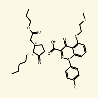 CCCCC[C@H]1C(=O)CC[C@@H]1CC(=O)OCCC.COCCOc1cccc2c1c(=O)c(C(=O)O)nn2-c1ccc(Cl)cc1